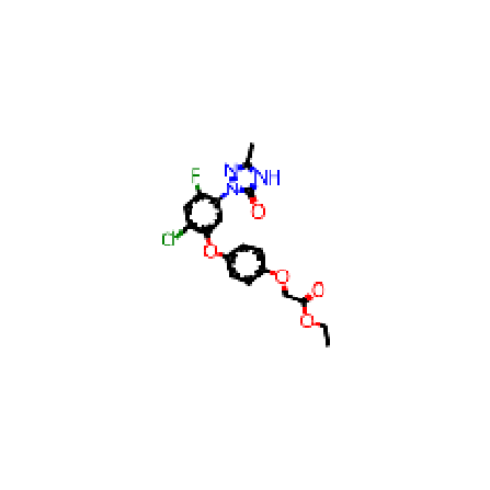 CCOC(=O)COc1ccc(Oc2cc(-n3nc(C)[nH]c3=O)c(F)cc2Cl)cc1